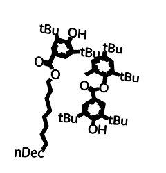 CCCCCCCCCCCCCCCCCCOC(=O)c1cc(C(C)(C)C)c(O)c(C(C)(C)C)c1.Cc1cc(C(C)(C)C)cc(C(C)(C)C)c1OC(=O)c1cc(C(C)(C)C)c(O)c(C(C)(C)C)c1